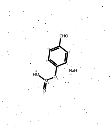 O=Cc1ccc(OS(=O)O)cc1.[NaH]